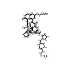 COCOc1cc(-c2ncc3c(N4CC5CCC(C4)N5C(=O)OC(C)(C)C)nc(OC[C@@H]4CCCN4CC4CCN(CCC(=O)O)CC4)nc3c2F)c2c(C#C[Si](C(C)C)(C(C)C)C(C)C)c(F)ccc2c1